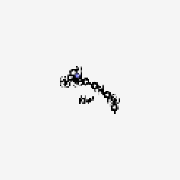 Cc1ccc(S(=O)(=O)Oc2ccc(N=Nc3ccc(-c4ccc(N/N=C5/C(=O)C=Cc6cc(S(=O)(=O)[O-])cc(S(=O)(=O)[O-])c65)c(C)c4)cc3C)cc2)cc1.[Na+].[Na+]